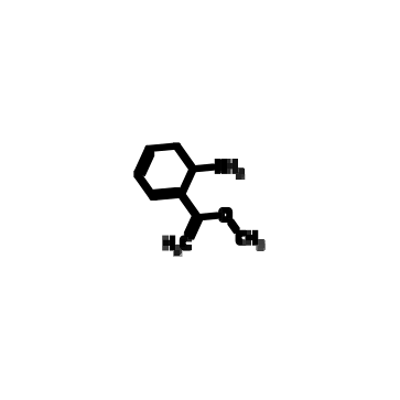 C=C(OC)C1=CC=CCC1N